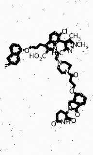 Cc1nn(C)c(C)c1-c1c(Cl)ccc2c(CCCOc3cccc4cc(F)ccc34)c(C(=O)O)n(CCN3CCN(C(=O)CCOc4cccc5c4CN(C4CCC(=O)NC4=O)C5=O)CC3)c12